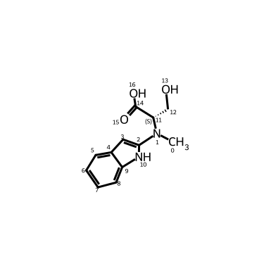 CN(c1cc2ccccc2[nH]1)[C@@H](CO)C(=O)O